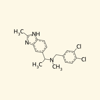 Cc1nc2cc(C(C)N(C)Cc3ccc(Cl)c(Cl)c3)ccc2[nH]1